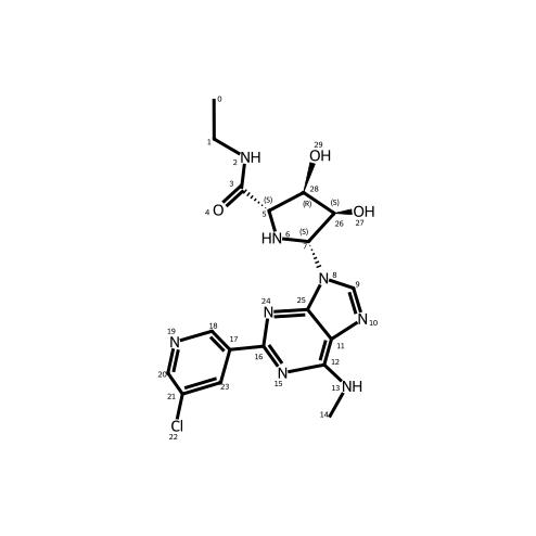 CCNC(=O)[C@H]1N[C@@H](n2cnc3c(NC)nc(-c4cncc(Cl)c4)nc32)[C@H](O)[C@@H]1O